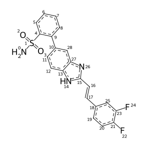 NS(=O)(=O)c1ccccc1-c1ccc2[nH]c(C=Cc3ccc(F)c(F)c3)nc2c1